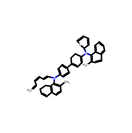 C=C/C=C\C=C\N(c1ccc(C2=CC=C(N(c3c(C)ccc4ccccc34)C3C=CC=CC3)CC2)cc1)c1c(C)ccc2c1CCC=C2